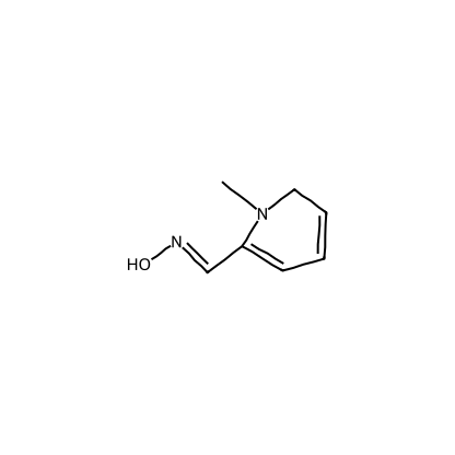 CN1CC=CC=C1C=NO